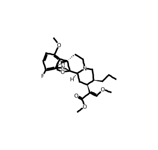 CCC[C@@H]1CN2CC[C@@]34OCCO[C@@]3(Nc3c(F)ccc(OC)c34)[C@@H]2C[C@@H]1/C(=C\OC)C(=O)OC